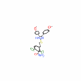 COc1ccc(-c2nc(SCCc3ccc(Cl)c(C(N)=O)c3Cl)[nH]c2-c2ccc(OC)cc2)cc1